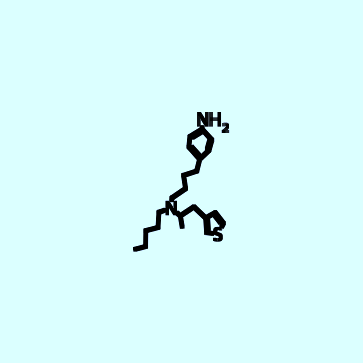 CCCCCN(CCCCc1ccc(N)cc1)C(C)Cc1ccsc1